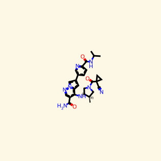 CC(C)NC(=O)c1ccc(-c2cc3c(N[C@@H]4CN(C(=O)C5(C#N)CC5)C[C@H]4C)c(C(N)=O)cnn3c2)cn1